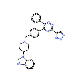 [CH]1Nc2ccccc2N1C1CCN(Cc2ccc(-c3nc(-c4cnn[nH]4)nnc3-c3ccccc3)cc2)CC1